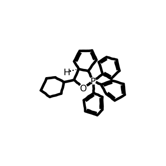 C1=CC2[C@H](C=C1)C(C1CCCCC1)OP2(c1ccccc1)(c1ccccc1)c1ccccc1